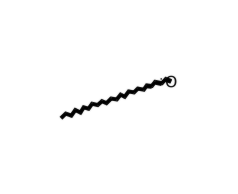 CCCCCCCCCCCCCCCCCCCC=CC=C[C]=O